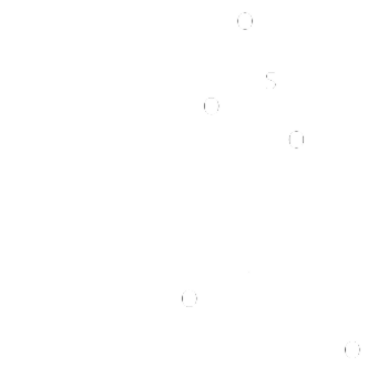 CS(=O)(=O)OC1=CC2(CCOCC2)Oc2ccccc21